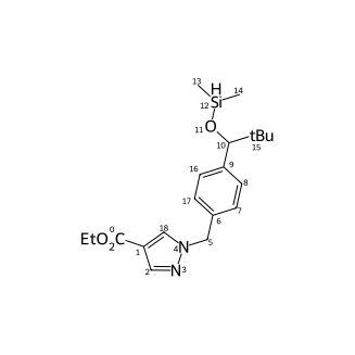 CCOC(=O)c1cnn(Cc2ccc(C(O[SiH](C)C)C(C)(C)C)cc2)c1